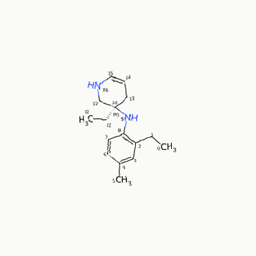 CCc1cc(C)ccc1N[C@]1(CC)CC=CNC1